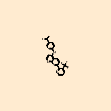 CC(=O)c1ccc(Nc2ccnc3nc(-c4ncccc4C(F)(F)F)ccc23)nc1